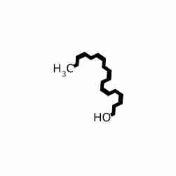 CC/C=C\C/C=C\C/C=C\C/C=C\C/C=C\CCO